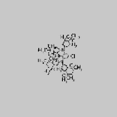 CC(C)(C)c1ccc(N2c3ccc(C(C)(C)C)cc3B3c4cc5c(cc4N(c4ccc6c(c4)C(C)(C)CCC6(C)C)c4cc(Cl)cc2c43)C(C)(C)CCC5(C)C)cc1